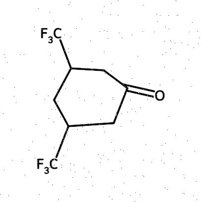 O=C1CC(C(F)(F)F)CC(C(F)(F)F)C1